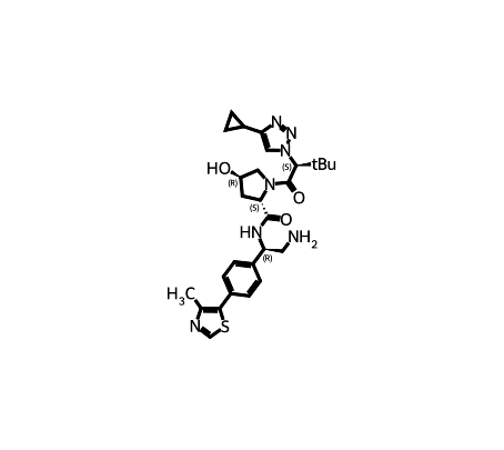 Cc1ncsc1-c1ccc([C@H](CN)NC(=O)[C@@H]2C[C@@H](O)CN2C(=O)[C@@H](n2cc(C3CC3)nn2)C(C)(C)C)cc1